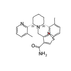 Cc1cccnc1[C@H]1CCC[C@@H](c2ncccc2C)N1Cc1cscc1C(N)=O